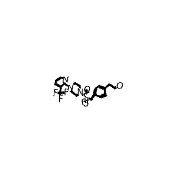 O=CCc1ccc(CS(=O)(=O)N2CCN(c3ncccc3C(F)(F)F)CC2)cc1